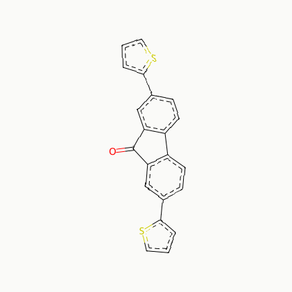 O=C1c2cc(-c3cccs3)ccc2-c2ccc(-c3cccs3)cc21